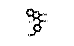 N=C(c1ccc(CCl)cc1)c1c(O)nc2ccccc2c1O